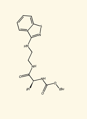 CC(C)[C@H](NC(=O)OC(C)(C)C)C(=O)NCCNc1nsc2ccccc12